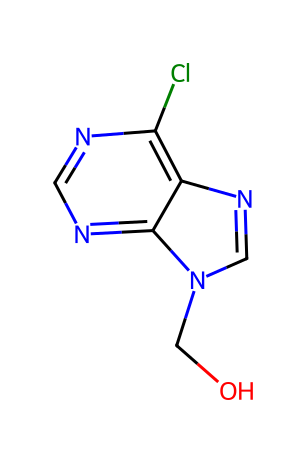 OCn1cnc2c(Cl)ncnc21